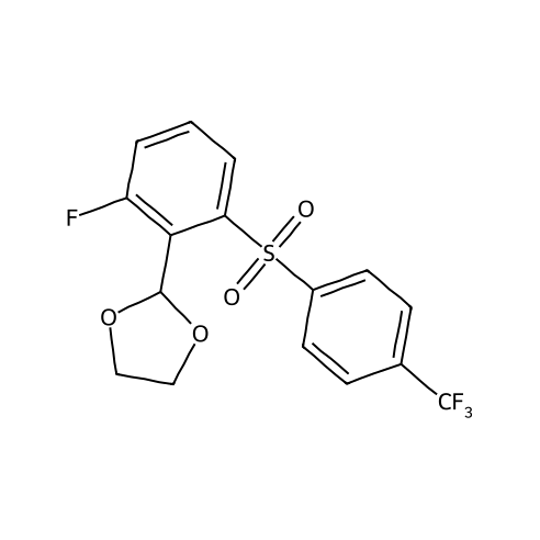 O=S(=O)(c1ccc(C(F)(F)F)cc1)c1cccc(F)c1C1OCCO1